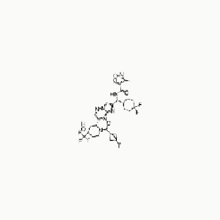 Cc1nonc1C(=O)N[C@H](c1cn2ncc([C@H]3C[C@](O)(C(F)(F)F)CCN3C(=O)C34CC(F)(C3)C4)nc2n1)C1CCC(F)(F)CC1